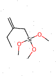 C=C(CC)C[Si](OC)(OC)OC